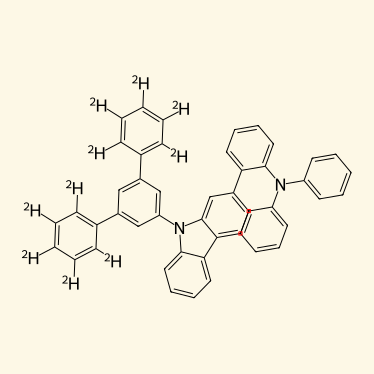 [2H]c1c([2H])c([2H])c(-c2cc(-c3c([2H])c([2H])c([2H])c([2H])c3[2H])cc(-n3c4ccccc4c4ccc(-c5ccccc5N(c5ccccc5)c5ccccc5)cc43)c2)c([2H])c1[2H]